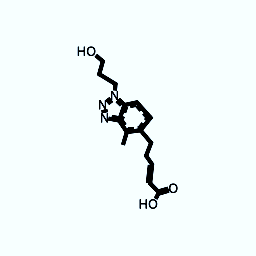 Cc1c(CC/C=C/C(=O)O)ccc2c1nnn2CCCO